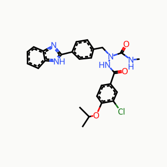 CNC(=O)N(Cc1ccc(-c2nc3ccccc3[nH]2)cc1)NC(=O)c1ccc(OC(C)C)c(Cl)c1